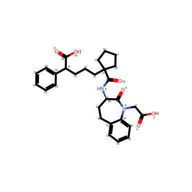 O=C(O)CN1C(=O)[C@H](NC(=O)C2(CCCC(C(=O)O)c3ccccc3)CCCC2)CCc2ccccc21